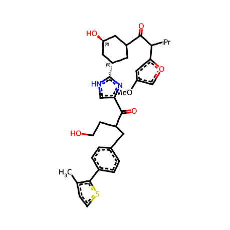 COc1coc(C(C(=O)C2C[C@H](O)C[C@@H](c3nc(C(=O)C(CCO)Cc4ccc(-c5sccc5C)cc4)c[nH]3)C2)C(C)C)c1